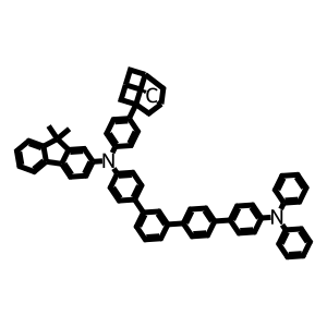 CC1(C)c2ccccc2-c2ccc(N(c3ccc(-c4cccc(-c5ccc(-c6ccc(N(c7ccccc7)c7ccccc7)cc6)cc5)c4)cc3)c3ccc(C45CC6CC7CC(C4)[C@]75C6)cc3)cc21